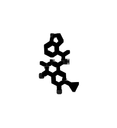 CC(Nc1nn(C)c(=O)c2cc(=O)n(C3CC3)cc12)c1cccc2sccc12